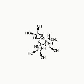 C#CCNP1(NC)=NP(NCC#C)(NCC#C)=NP(NCC#C)(NCC#C)=N1